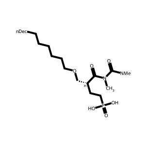 CCCCCCCCCCCCCCCCOC[C@@H](CCP(=O)(O)O)C(=O)N(C)C(=O)NC